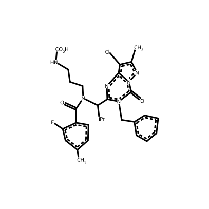 Cc1ccc(C(=O)N(CCCNC(=O)O)C(c2nc3c(Cl)c(C)nn3c(=O)n2Cc2ccccc2)C(C)C)c(F)c1